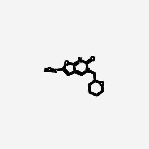 CCCCCCCCCCc1cc2cn(CC3CCCCO3)c(=O)nc2o1